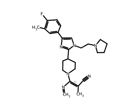 C=N/C(=C(\C)C#N)N1CCC(c2nc(-c3ccc(F)c(C)c3)cn2CCN2CCCC2)CC1